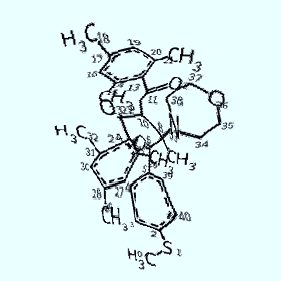 CSc1ccc(C(=O)C(C)(C(C(=O)c2c(C)cc(C)cc2C)C(=O)c2c(C)cc(C)cc2C)N2CCOCC2)cc1